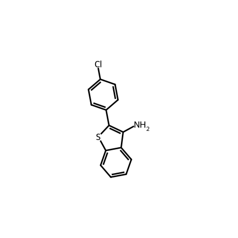 Nc1c(-c2ccc(Cl)cc2)sc2ccccc12